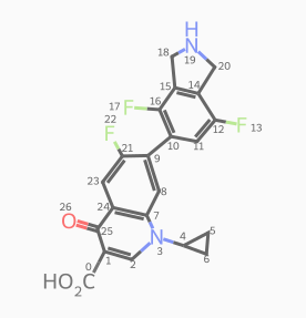 O=C(O)c1cn(C2CC2)c2cc(-c3cc(F)c4c(c3F)CNC4)c(F)cc2c1=O